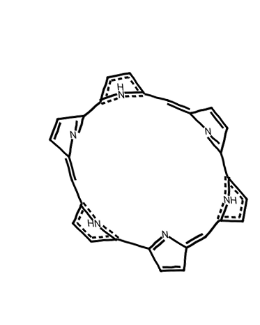 C1=C/C2=C/c3ccc([nH]3)C3=N/C(=C\c4ccc([nH]4)C4=N/C(=C\c5ccc([nH]5)C1=N2)C=C4)C=C3